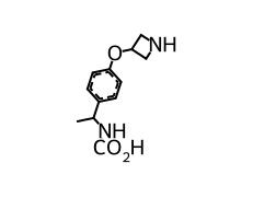 CC(NC(=O)O)c1ccc(OC2CNC2)cc1